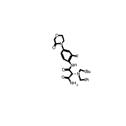 CC(C)CN(CC(C)(C)C)[C@H](C(N)=O)C(=O)Nc1ccc(N2CCOCC2=O)cc1F